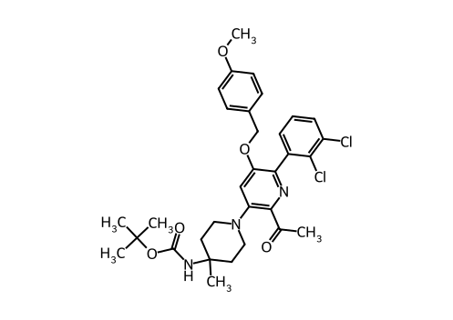 COc1ccc(COc2cc(N3CCC(C)(NC(=O)OC(C)(C)C)CC3)c(C(C)=O)nc2-c2cccc(Cl)c2Cl)cc1